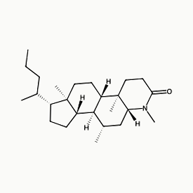 CCCC(C)[C@H]1CC[C@H]2[C@@H]3[C@@H](C)C[C@H]4N(C)C(=O)CC[C@]4(C)[C@H]3CC[C@]12C